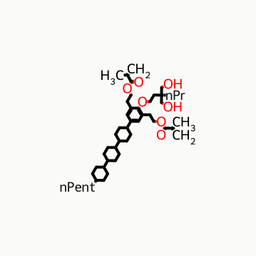 C=C(C)C(=O)OCCc1cc(C2CCC(C3CCC(C4CCC(CCCCC)CC4)CC3)CC2)cc(CCOC(=O)C(=C)C)c1OCCC(CO)(CO)CCC